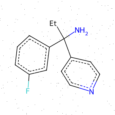 CCC(N)(c1ccncc1)c1cccc(F)c1